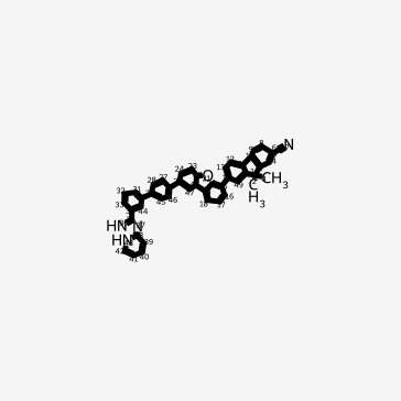 CC1(C)c2cc(C#N)ccc2-c2ccc(-c3cccc4c3OC3C=CC(c5ccc(-c6cccc(C(=N)/N=c7/cccc[nH]7)c6)cc5)=CC43)cc21